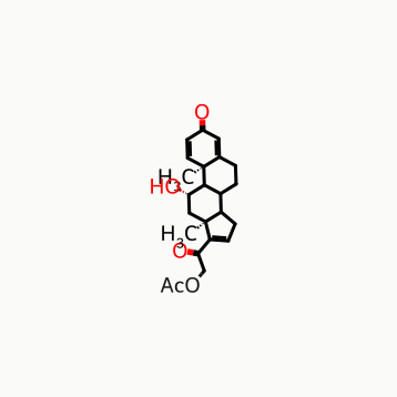 CC(=O)OCC(=O)C1=CCC2C3CCC4=CC(=O)C=C[C@]4(C)C3[C@@H](O)C[C@]12C